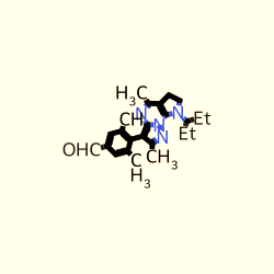 CCC(CC)N1CCc2c(C)nc3c(-c4c(C)cc(C=O)cc4C)c(C)nn3c21